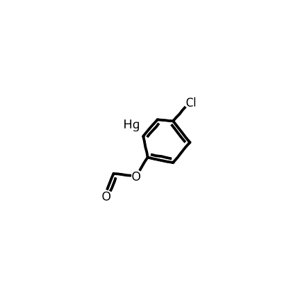 O=COc1ccc(Cl)cc1.[Hg]